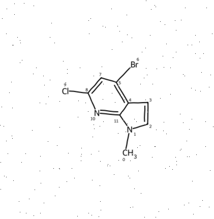 Cn1ccc2c(Br)cc(Cl)nc21